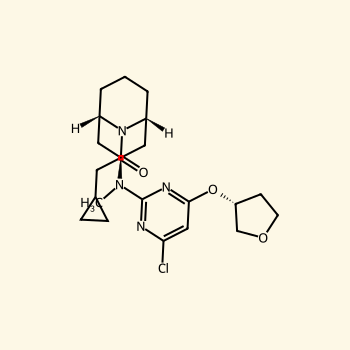 CN(c1nc(Cl)cc(O[C@@H]2CCOC2)n1)[C@@H]1C[C@H]2CCC[C@@H](C1)N2C(=O)CC1CC1